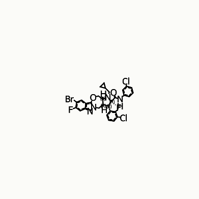 C[C@]1(C(=O)Nc2cccc(Cl)c2)[C@@H](c2cccc(Cl)c2F)[C@@H]2Cn3nc4cc(F)c(Br)cc4c3OC[C@@H]2N1CC1CC1